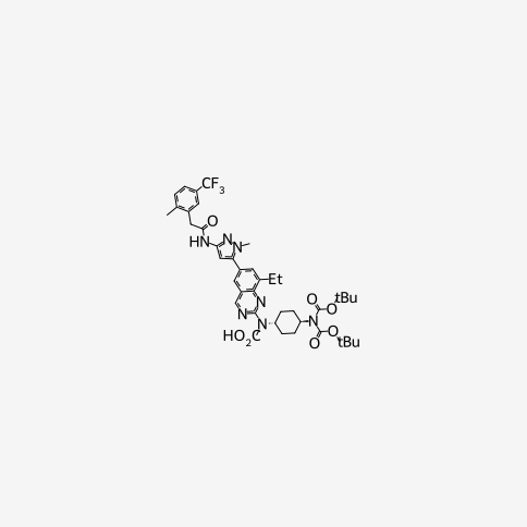 CCc1cc(-c2cc(NC(=O)Cc3cc(C(F)(F)F)ccc3C)nn2C)cc2cnc(N(C(=O)O)[C@H]3CC[C@H](N(C(=O)OC(C)(C)C)C(=O)OC(C)(C)C)CC3)nc12